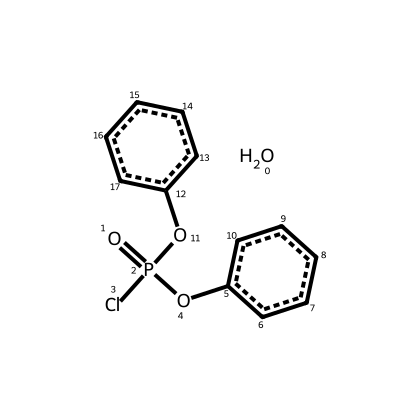 O.O=P(Cl)(Oc1ccccc1)Oc1ccccc1